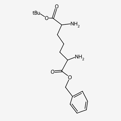 CC(C)(C)OC(=O)C(N)CCCC(N)C(=O)OCc1ccccc1